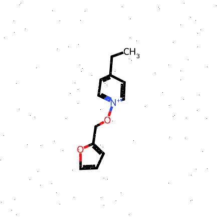 CCc1cc[n+](OCc2ccco2)cc1